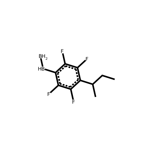 BBc1c(F)c(F)c(C(C)CC)c(F)c1F